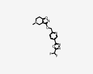 CN1CCc2onc(OCc3ccc(-c4nnc(C(F)F)o4)cn3)c2C1